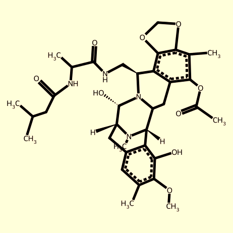 COc1c(C)cc2c(c1O)[C@H]1C3Cc4c(OC(C)=O)c(C)c5c(c4[C@H](CNC(=O)C(C)NC(=O)CC(C)C)N3[C@@H](O)[C@@H](C2)N1C)OCO5